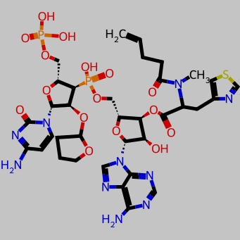 C=CCCC(=O)N(C)C(Cc1cscn1)C(=O)O[C@H]1[C@@H](O)[C@H](n2cnc3c(N)ncnc32)O[C@@H]1COP(=O)(O)[C@H]1[C@@H](OC2CCCO2)[C@H](n2ccc(N)nc2=O)O[C@@H]1COP(=O)(O)O